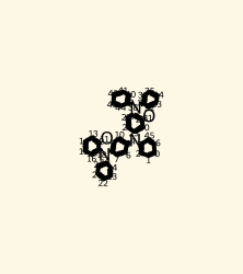 c1ccc(N(c2ccc3c(c2)Oc2ccccc2N3c2ccccc2)c2ccc3c(c2)Oc2ccccc2N3c2ccccc2)cc1